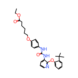 CCOC(=O)CCCCCOc1ccc(NC(=O)Nc2cccnc2Oc2ccccc2C(C)(C)C)cc1